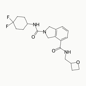 O=C(NCC1CCO1)c1cccc2c1CN(C(=O)NC1CCC(F)(F)CC1)C2